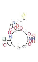 COc1cc2cc(c1Cl)N(C)C(=O)CC(OC(=O)[C@H](C)N(C)C(=O)CCC(C)SSC)C1(C)OC1C(C)C1CC(O)(NC(=O)O1)C(OC)/C=C/C=C(\C)C2